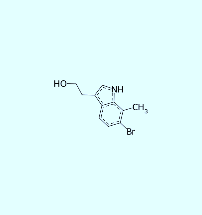 Cc1c(Br)ccc2c(CCO)c[nH]c12